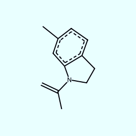 C=C(C)N1CCc2ccc(C)cc21